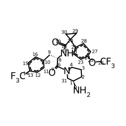 N[C@@H]1CCCN(C(=O)[C@H](Cc2ccc(C(F)(F)F)cc2)NC(=O)C2(c3ccc(OC(F)(F)F)cc3)CC2)C1